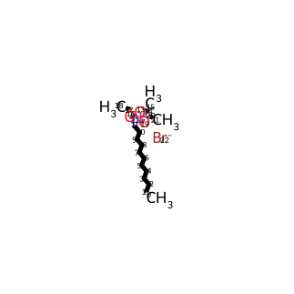 CCCCCCCCCCCC[N+](OCC)(OCC)OCC.[Br-]